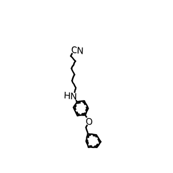 N#CCCCCCCNc1ccc(OCc2ccccc2)cc1